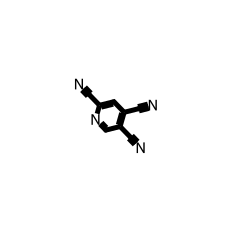 N#Cc1cc(C#N)c(C#N)cn1